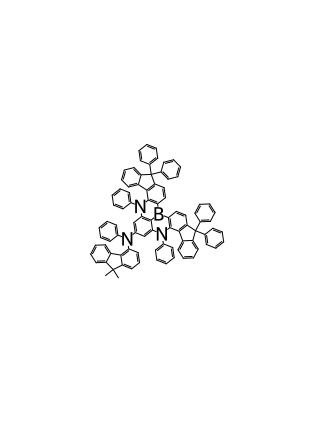 CC1(C)c2ccccc2-c2c(N(c3ccccc3)c3cc4c5c(c3)N(c3ccccc3)c3c(ccc6c3-c3ccccc3C6(c3ccccc3)c3ccccc3)B5c3ccc5c(c3N4c3ccccc3)-c3ccccc3C5(c3ccccc3)c3ccccc3)cccc21